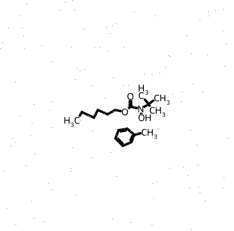 CCCCCCOC(=O)N(O)C(C)(C)C.Cc1ccccc1